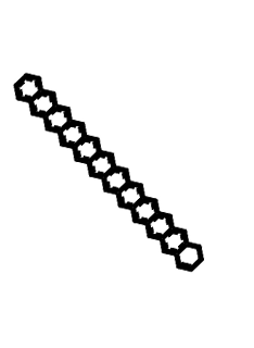 C1=Cc2cc3cc4cc5cc6cc7cc8cc9cc%10cc%11cc%12ccccc%12cc%11cc%10cc9cc8cc7cc6cc5cc4cc3cc2CC1